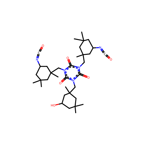 CC1(C)CC(O)CC(C)(Cn2c(=O)n(CC3(C)CC(N=C=O)CC(C)(C)C3)c(=O)n(CC3(C)CC(N=C=O)CC(C)(C)C3)c2=O)C1